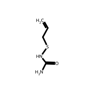 C=CCSNC(N)=O